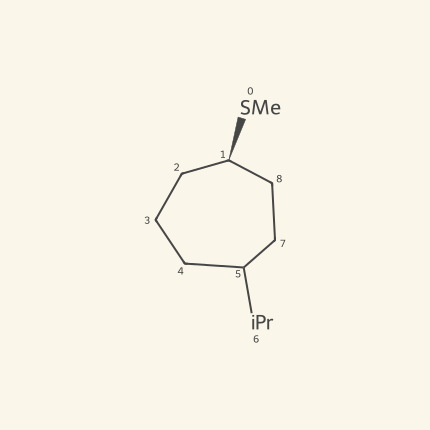 CS[C@@H]1CCCC(C(C)C)CC1